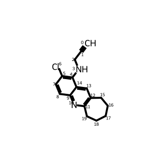 C#CCNc1c(Cl)ccc2nc3c(cc12)CCCCC3